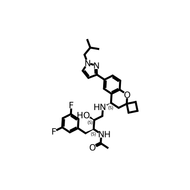 CC(=O)N[C@@H](Cc1cc(F)cc(F)c1)[C@@H](O)CN[C@H]1CC2(CCC2)Oc2ccc(-c3ccn(CC(C)C)n3)cc21